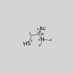 CC(=O)[C@H](CS)N(C)C